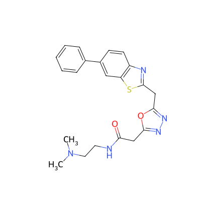 CN(C)CCNC(=O)Cc1nnc(Cc2nc3ccc(-c4ccccc4)cc3s2)o1